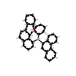 c1ccc(N(c2cc3ccccc3c3ccccc23)c2cccc3ccc4c5ccccc5oc4c23)cc1